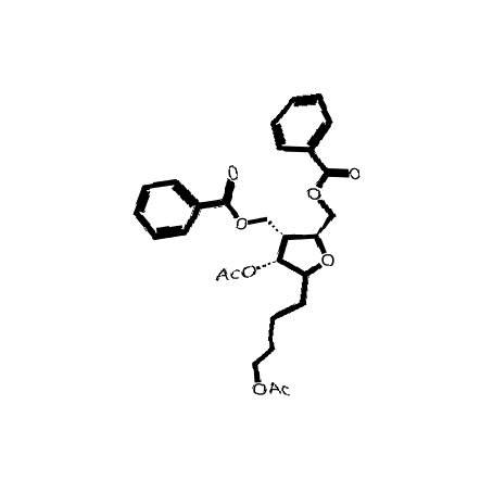 CC(=O)OCCCCC1O[C@H](COC(=O)c2ccccc2)[C@@H](COC(=O)c2ccccc2)[C@H]1OC(C)=O